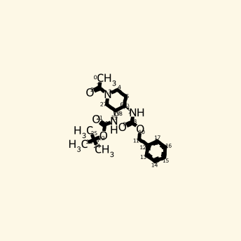 CC(=O)N1CC[C@H](NC(=O)OCc2ccccc2)[C@H](NC(=O)OC(C)(C)C)C1